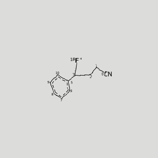 N#CCCC([18F])c1ccccc1